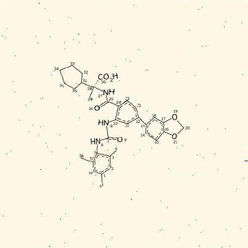 Cc1cc(C)c(NC(=O)Nc2cc(-c3ccc4c(c3)OCO4)ccc2C(=O)N[C@](C)(C(=O)O)C2CCCCC2)c(C)c1